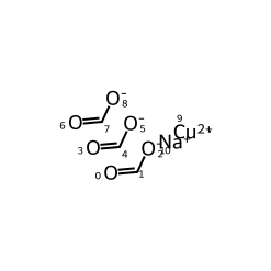 O=C[O-].O=C[O-].O=C[O-].[Cu+2].[Na+]